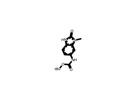 Cn1c(=O)[nH]c2ccc(NC(=O)OC(C)(C)C)cc21